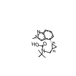 Cn1cc2c([C@@H]3C[C@H]3CN(C(=O)O)C(C)(C)C)cccc2n1